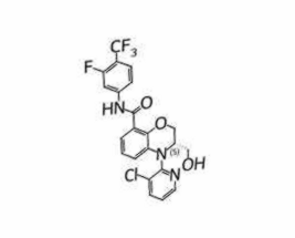 O=C(Nc1ccc(C(F)(F)F)c(F)c1)c1cccc2c1OC[C@H](CO)N2c1ncccc1Cl